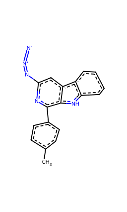 Cc1ccc(-c2nc(N=[N+]=[N-])cc3c2[nH]c2ccccc23)cc1